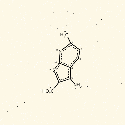 Cc1ccc2c(N)c(C(=O)O)sc2n1